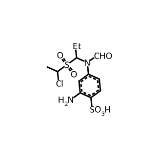 CCC(N(C=O)c1ccc(S(=O)(=O)O)c(N)c1)S(=O)(=O)C(C)Cl